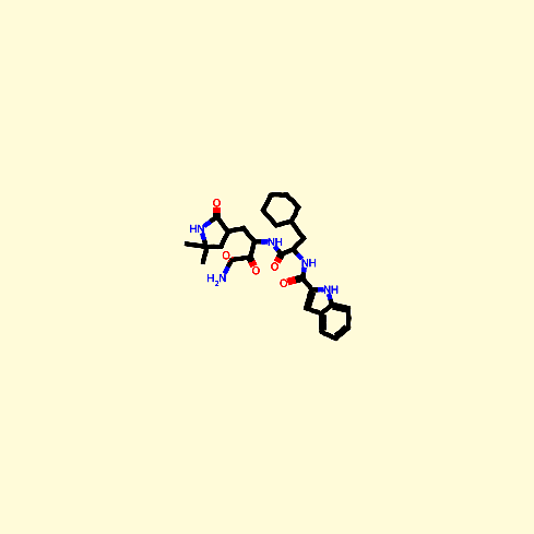 CC1(C)CC(CC(NC(=O)C(CC2CCCCC2)NC(=O)c2cc3ccccc3[nH]2)C(=O)C(N)=O)C(=O)N1